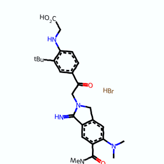 Br.CNC(=O)c1cc2c(cc1N(C)C)CN(CC(=O)c1ccc(NCC(=O)O)c(C(C)(C)C)c1)C2=N